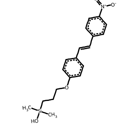 C[Si](C)(O)CCCOc1ccc(C=Cc2ccc([N+](=O)[O-])cc2)cc1